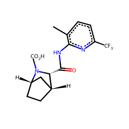 Cc1ccc(C(F)(F)F)nc1NC(=O)[C@@H]1[C@@H]2CC[C@@H](C2)N1C(=O)O